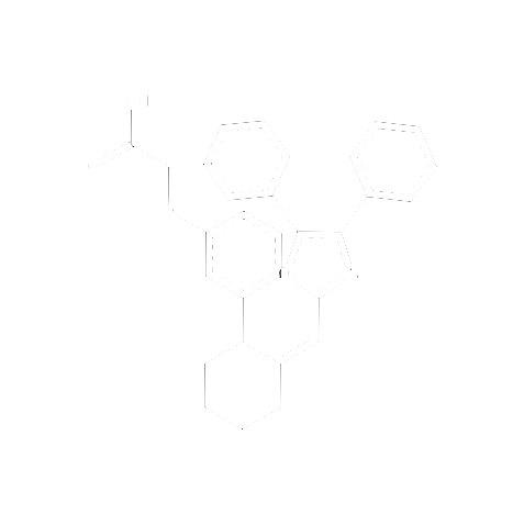 O=C(O)COc1cccc(C2CCCC/C2=C/c2nc(-c3ccccc3)c(-c3ccccc3)o2)c1